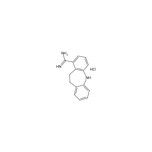 Cl.N=C(N)c1cccc2c1CCc1ccccc1N2